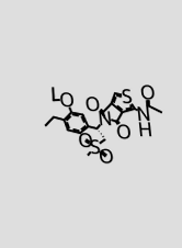 CCOc1cc([C@@H](CS(C)(=O)=O)N2C(=O)c3csc(NC(C)=O)c3C2=O)ccc1CC